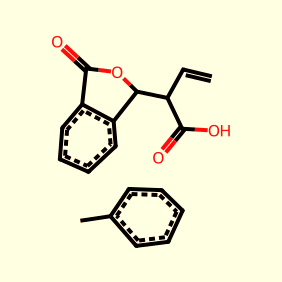 C=CC(C(=O)O)C1OC(=O)c2ccccc21.Cc1ccccc1